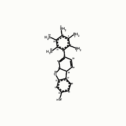 Bc1c(B)c(B)c(C2=CC3Oc4cc(Br)ccc4C3C=C2)c(B)c1B